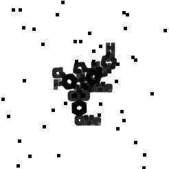 COc1ccc(S(=O)(=O)N2C(=O)C(c3ccc(CN4CCNCC4)cc3OC)(N3CCCC3c3ncco3)c3cc(Cl)c(F)cc32)cc1